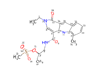 CCn1cc(C(=O)NCC(C)OS(C)(=O)=O)c2nc3c(C)cccc3cc2c1=O